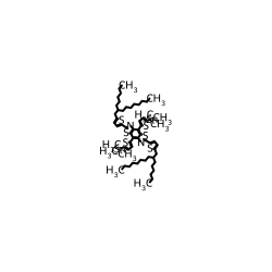 CCCCCCCCC(CCCCCC)Cc1ccc(-c2nc3c(-c4cc[c]([Sn]([CH3])([CH3])[CH3])s4)c4sc(-c5ccc(CC(CCCCCC)CCCCCCCC)s5)nc4c(-c4cc[c]([Sn]([CH3])([CH3])[CH3])s4)c3s2)s1